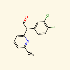 Cc1cccc(C(C=O)c2ccc(F)c(Cl)c2)n1